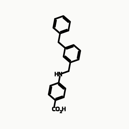 O=C(O)c1ccc(NCc2cccc(Cc3ccccc3)c2)cc1